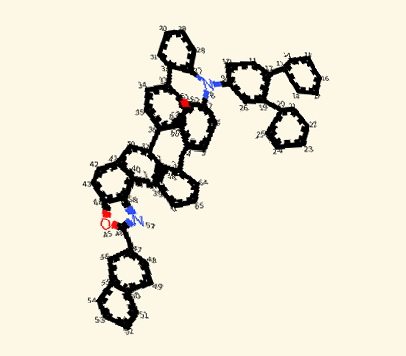 c1ccc(-c2ccc(N(c3ccc(-c4ccccc4)c(-c4ccccc4)c3)c3ccccc3-c3ccc(-c4ccc5c(ccc6oc(-c7ccc8ccccc8c7)nc65)c4)cc3)cc2)cc1